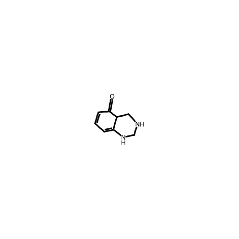 O=C1C=CC=C2NCNCC12